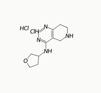 Cl.Cl.c1nc2c(c(NC3CCOC3)n1)CNCC2